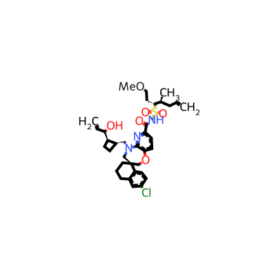 C=CC[C@H](C)[C@@H](CCOC)S(=O)(=O)NC(=O)c1ccc2c(n1)N(C[C@@H]1CC[C@H]1C(O)C=C)C[C@@]1(CCCc3cc(Cl)ccc31)CO2